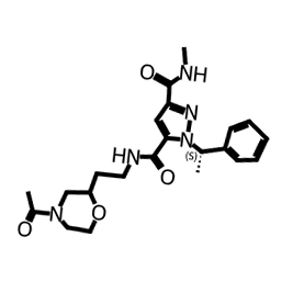 CNC(=O)c1cc(C(=O)NCCC2CN(C(C)=O)CCO2)n([C@@H](C)c2ccccc2)n1